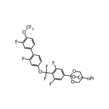 CCCC12COC(c3cc(F)c(C(F)(F)Oc4ccc(-c5ccc(OC(F)(F)F)c(F)c5)c(F)c4)c(F)c3)(OC1)OC2